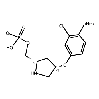 CCCCCCCc1ccc(O[C@@H]2CN[C@H](COP(=O)(O)O)C2)cc1Cl